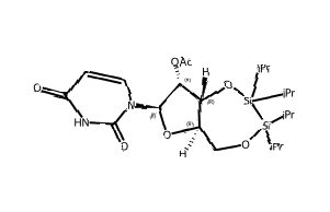 CC(=O)O[C@@H]1[C@@H]2O[Si](C(C)C)(C(C)C)[Si](C(C)C)(C(C)C)OC[C@H]2O[C@H]1n1ccc(=O)[nH]c1=O